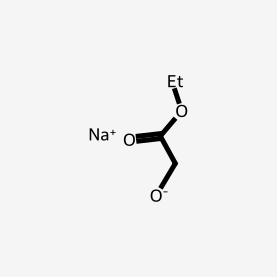 CCOC(=O)C[O-].[Na+]